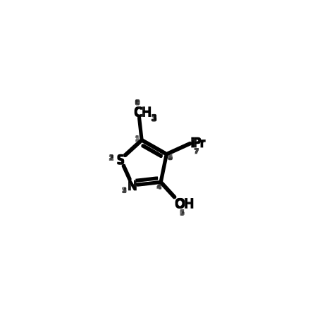 Cc1snc(O)c1C(C)C